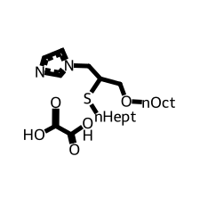 CCCCCCCCOCC(Cn1ccnc1)SCCCCCCC.O=C(O)C(=O)O